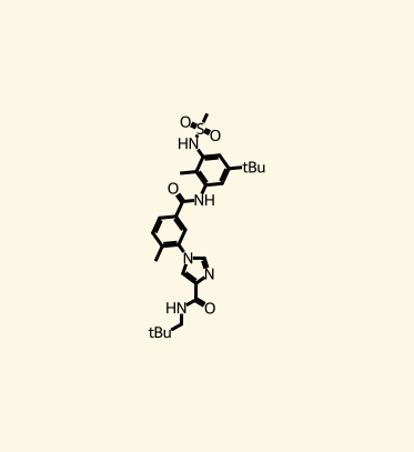 Cc1ccc(C(=O)Nc2cc(C(C)(C)C)cc(NS(C)(=O)=O)c2C)cc1-n1cnc(C(=O)NCC(C)(C)C)c1